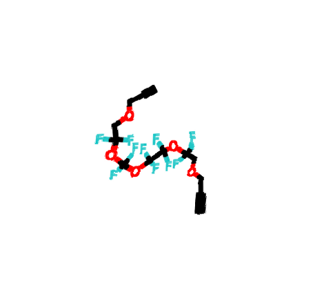 C#CCOCC(F)(F)OC(F)(F)OC(F)(F)C(F)(F)OC(F)(F)COCC#C